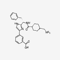 NCC1CCC(C(=O)N[C@@H](Cc2ccccc2)c2nc(-c3cccc(C(=O)O)c3)c[nH]2)CC1